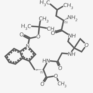 COC(=O)[C@H](Cc1cn(C(=O)OC(C)(C)C)c2ccccc12)NC(=O)CNC1(CNC(=O)[C@@H](N)CC(C)C)COC1